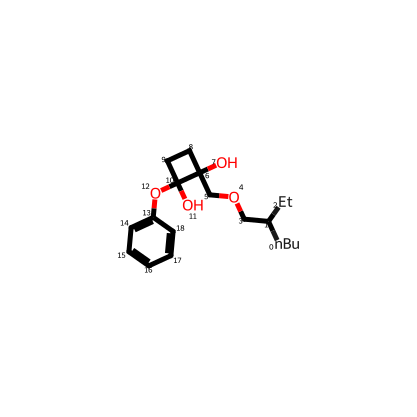 CCCCC(CC)COCC1(O)CCC1(O)Oc1ccccc1